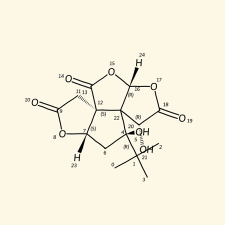 CC(C)(C)[C@]1(O)C[C@@H]2OC(=O)C[C@@]23C(=O)O[C@@H]2OC(=O)[C@H](O)C213